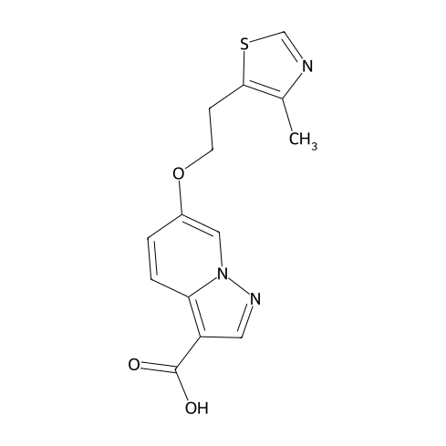 Cc1ncsc1CCOc1ccc2c(C(=O)O)cnn2c1